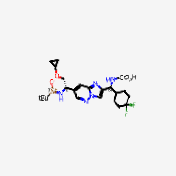 CC(C)(C)[S@@+]([O-])N[C@H](COC1CC1)c1cnn2cc([C@@H](NC(=O)O)C3CCC(F)(F)CC3)nc2c1